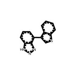 [c]1sc2ccccc2c1-c1cccc2[nH]nnc12